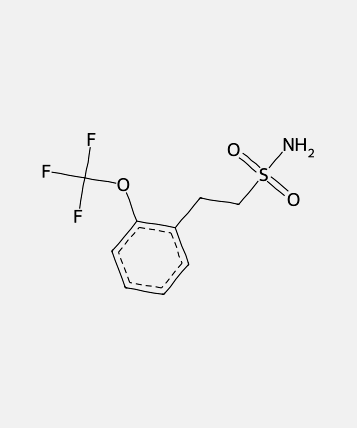 NS(=O)(=O)CCc1ccccc1OC(F)(F)F